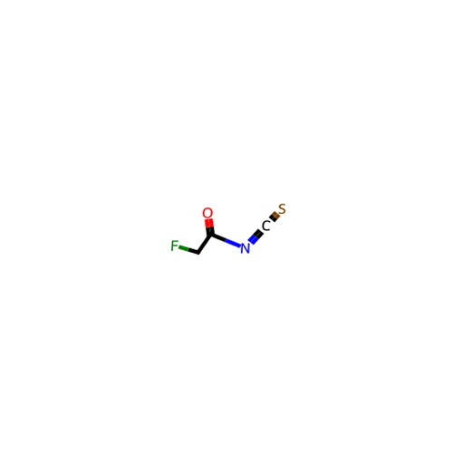 O=C(CF)N=C=S